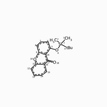 CC(C)(C)[Si](C)(C)Oc1cccc2oc3ccccc3c(=O)c12